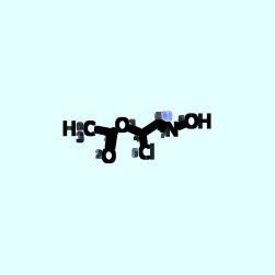 CC(=O)OC(Cl)/C=N/O